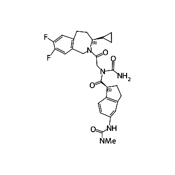 CNC(=O)Nc1ccc2c(c1)CC[C@@H]2C(=O)N(CC(=O)N1Cc2cc(F)c(F)cc2CC[C@H]1C1CC1)C(N)=O